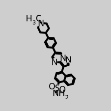 CN1CCC(c2ccc(-c3cnc4c(-c5ccc(S(N)(=O)=O)c6ccccc56)cnn4c3)cc2)CC1